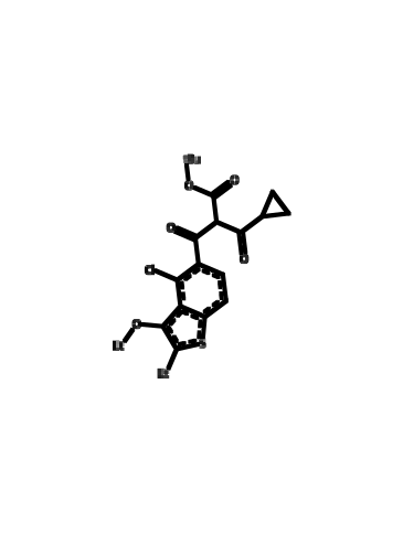 CCOc1c(CC)sc2ccc(C(=O)C(C(=O)OC(C)(C)C)C(=O)C3CC3)c(Cl)c12